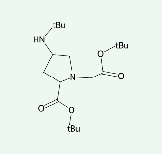 CC(C)(C)NC1CC(C(=O)OC(C)(C)C)N(CC(=O)OC(C)(C)C)C1